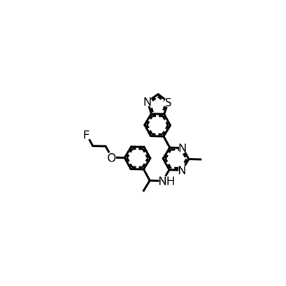 Cc1nc(NC(C)c2cccc(OCCF)c2)cc(-c2ccc3ncsc3c2)n1